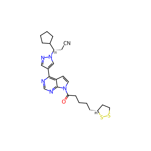 N#CC[C@@H](C1CCCC1)n1cc(-c2ncnc3c2ccn3C(=O)CCCC[C@@H]2CCSS2)cn1